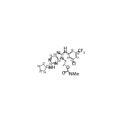 CNC(=O)OCCn1c(Nc2cc(Cl)cc(C(F)(F)F)c2)nc2cnc(NC3CCCC3)nc21